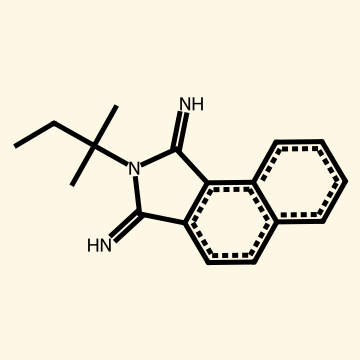 CCC(C)(C)N1C(=N)c2ccc3ccccc3c2C1=N